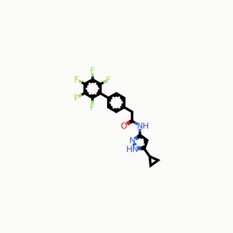 O=C(Cc1ccc(-c2c(F)c(F)c(F)c(F)c2F)cc1)Nc1cc(C2CC2)[nH]n1